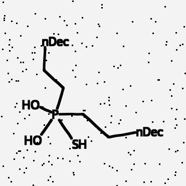 CCCCCCCCCCCCP(O)(O)(S)CCCCCCCCCCCC